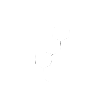 CCC(CC)NC(=O)OC(CO)CO